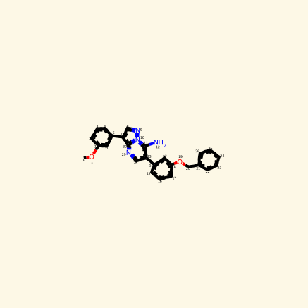 COc1cccc(-c2cnn3c(N)c(-c4cccc(OCc5ccccc5)c4)cnc23)c1